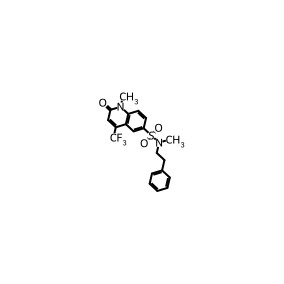 CN(CCc1ccccc1)S(=O)(=O)c1ccc2c(c1)c(C(F)(F)F)cc(=O)n2C